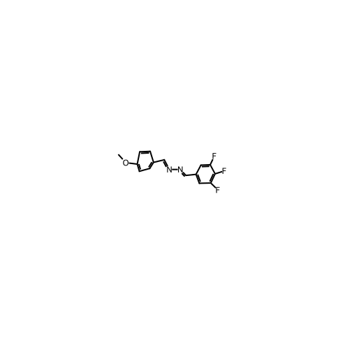 COc1ccc(C=NN=Cc2cc(F)c(F)c(F)c2)cc1